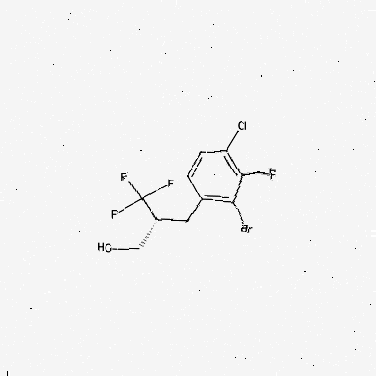 OC[C@@H](Cc1ccc(Cl)c(F)c1Br)C(F)(F)F